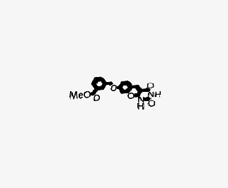 COC(=O)c1cccc(COc2ccc(C=C3C(=O)NC(=O)NC3=O)cc2)c1